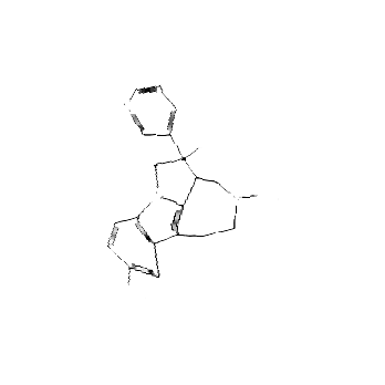 Cc1ccc2c(c1)c1c3n2CC(O)(c2cccnc2)C3CN(C)CC1